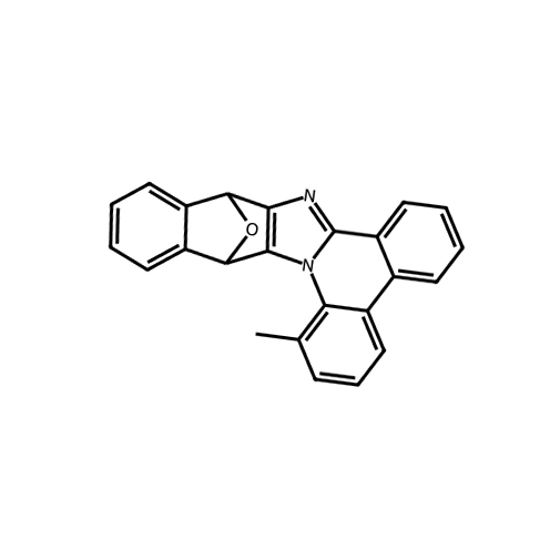 Cc1cccc2c3ccccc3c3nc4c(n3c12)C1OC4c2ccccc21